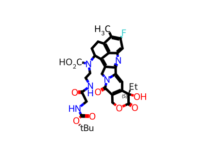 CC[C@@]1(O)C(=O)OCc2c1cc1n(c2=O)Cc2c-1nc1cc(F)c(C)c3c1c2C(N(CCNC(=O)CNC(=O)OC(C)(C)C)C(=O)O)CC3